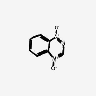 [O-][n+]1cn[n+]([O-])c2ccccc21